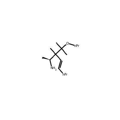 CCC/C=C/C(C)([C@H](C)N)C(C)(C)OCCC